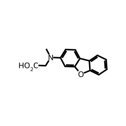 CN(CC(=O)O)c1ccc2c(c1)oc1ccccc12